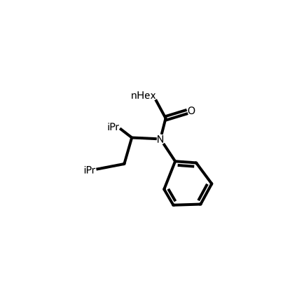 CCCCCCC(=O)N(c1ccccc1)C(CC(C)C)C(C)C